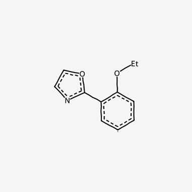 CCOc1cc[c]cc1-c1ncco1